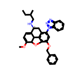 CCC(C)CN[C@H]1Cc2c(-n3nnc4ccccc43)cc(OCc3ccccc3)c3c2C2C1=CC=C(OC)C2O3